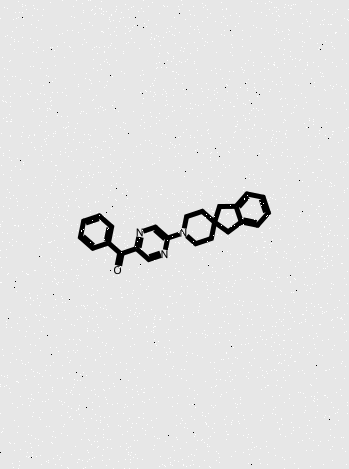 O=C(c1ccccc1)c1cnc(N2CCC3(CC2)Cc2ccccc2C3)cn1